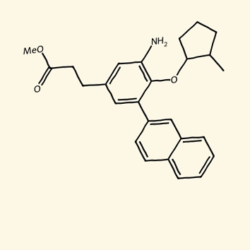 COC(=O)CCc1cc(N)c(OC2CCCC2C)c(-c2ccc3ccccc3c2)c1